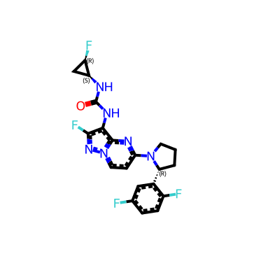 O=C(Nc1c(F)nn2ccc(N3CCC[C@@H]3c3cc(F)ccc3F)nc12)N[C@H]1C[C@H]1F